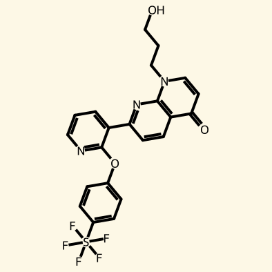 O=c1ccn(CCCO)c2nc(-c3cccnc3Oc3ccc(S(F)(F)(F)(F)F)cc3)ccc12